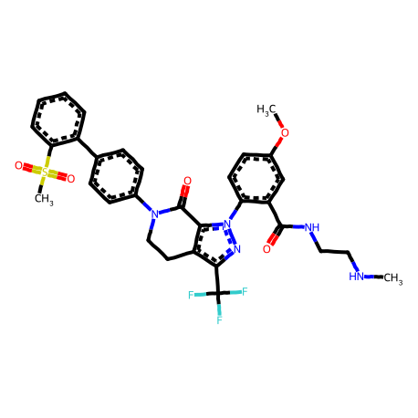 CNCCNC(=O)c1cc(OC)ccc1-n1nc(C(F)(F)F)c2c1C(=O)N(c1ccc(-c3ccccc3S(C)(=O)=O)cc1)CC2